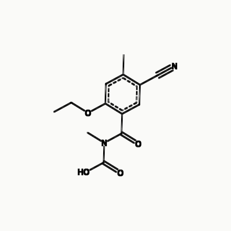 CCOc1cc(C)c(C#N)cc1C(=O)N(C)C(=O)O